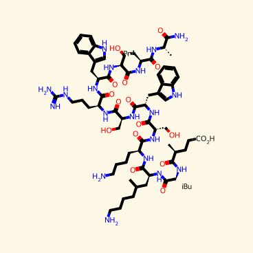 CC[C@H](C)[C@H](NC(=O)[C@@H](C)CCC(=O)O)C(=O)N[C@@H](CC(C)CCCCN)C(=O)N[C@@H](CCCCN)C(=O)N[C@@H](CO)C(=O)N[C@@H](Cc1c[nH]c2ccccc12)C(=O)N[C@@H](CO)C(=O)N[C@@H](CCCNC(=N)N)C(=O)N[C@@H](Cc1c[nH]c2ccccc12)C(=O)N[C@H](C(=O)N[C@@H](CC(C)C)C(=O)N[C@@H](C)C(N)=O)[C@@H](C)O